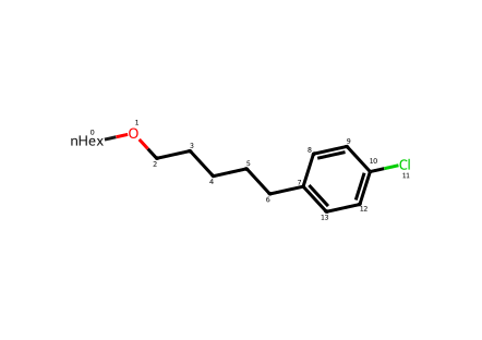 [CH2]CCCCCOCCCCCc1ccc(Cl)cc1